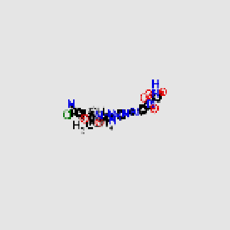 CC1(C)[C@H](NC(=O)c2cnc(N3CCN(C4CN(c5ccc6c(c5)C(=O)N(C5CCC(=O)NC5=O)C6=O)C4)CC3)nc2)C(C)(C)[C@H]1Oc1ccc(C#N)c(Cl)c1